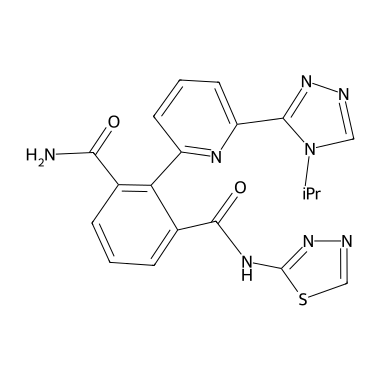 CC(C)n1cnnc1-c1cccc(-c2c(C(N)=O)cccc2C(=O)Nc2nncs2)n1